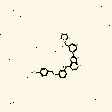 COc1ccc(COc2cccc(Nc3ccnc4cc(-c5cccc(CN6CCCC6)c5)sc34)c2)cc1